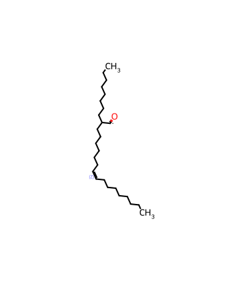 CCCCCCCC/C=C\CCCCCCC([C]=O)CCCCCCCC